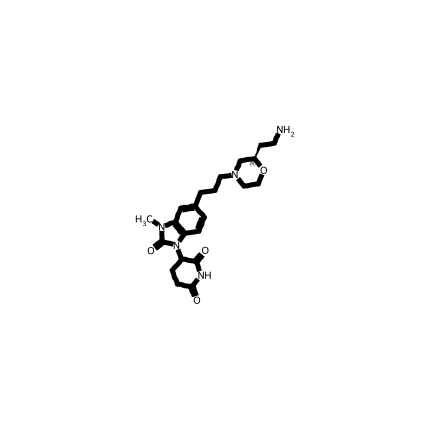 Cn1c(=O)n(C2CCC(=O)NC2=O)c2ccc(CCCN3CCO[C@H](CCN)C3)cc21